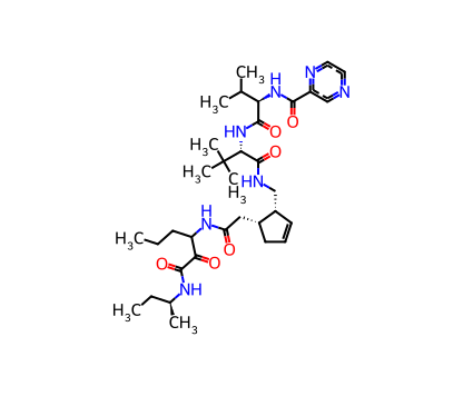 CCCC(NC(=O)C[C@H]1CC=C[C@H]1CNC(=O)[C@@H](NC(=O)[C@H](NC(=O)c1cnccn1)C(C)C)C(C)(C)C)C(=O)C(=O)N[C@@H](C)CC